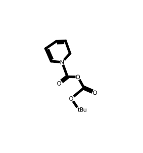 CC(C)(C)OC(=O)OC(=O)N1C=CC=CC1